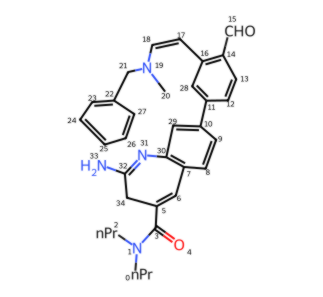 CCCN(CCC)C(=O)C1=Cc2ccc(-c3ccc(C=O)c(/C=C\N(C)Cc4ccccc4)c3)cc2N=C(N)C1